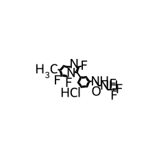 Cc1cc2nc(F)c(-c3cccc(NC(=O)NCC(F)(F)F)c3)n2c(F)c1F.Cl